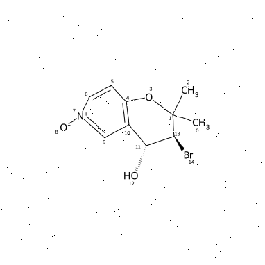 CC1(C)Oc2cc[n+]([O-])cc2[C@@H](O)[C@@H]1Br